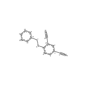 N#Cc1cnc(SCc2cccnc2)c(C#N)c1